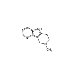 CN1CCc2[nH]c3cccnc3c2C1